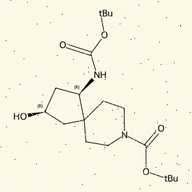 CC(C)(C)OC(=O)N[C@@H]1C[C@H](O)CC12CCN(C(=O)OC(C)(C)C)CC2